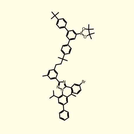 Cc1cc(CCC(C)(C)c2ccc(-c3cc(B4OC(C)(C)C(C)(C)O4)cc(-c4ccc(C(C)(C)C)cc4)c3)cc2)cc(-c2nc(-c3cccc(Br)c3)n(-c3c(C(C)C)cc(-c4ccccc4)cc3C(C)C)n2)c1